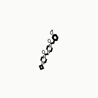 COc1cccc(CC(=O)N2CCN(CC(=O)N3CCN(C4CCC4)CC3)CC2)c1